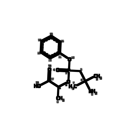 CC(OP(=O)(CC(C)(C)N)Oc1ccccc1)C(=O)O